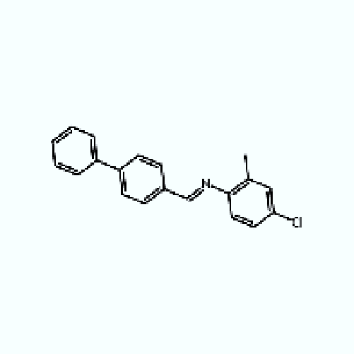 Cc1cc(Cl)ccc1/N=C/c1ccc(-c2ccccc2)cc1